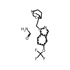 FC(F)(F)Oc1ccc2c(cnn2CC2CN3CCC2CC3)c1.NC=O